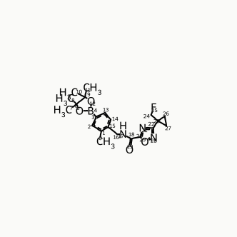 Cc1cc(B2OC(C)(C)C(C)(C)O2)ccc1CNC(=O)c1nc(C2(CF)CC2)no1